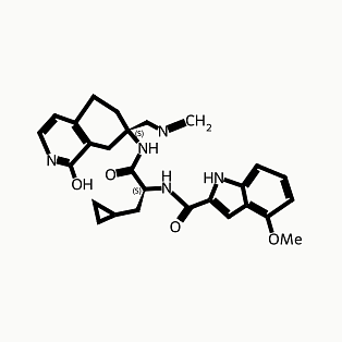 C=NC[C@]1(NC(=O)[C@H](CC2CC2)NC(=O)c2cc3c(OC)cccc3[nH]2)CCc2ccnc(O)c2C1